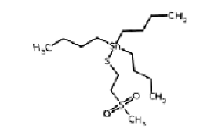 CCC[CH2][Sn]([CH2]CCC)([CH2]CCC)[S]CCS(C)(=O)=O